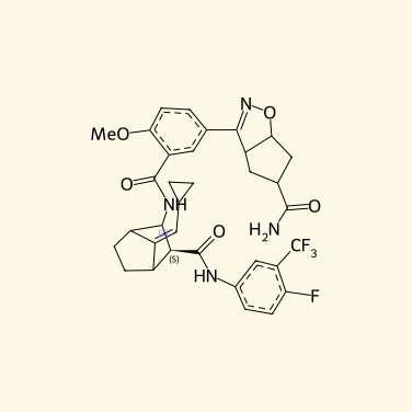 COc1ccc(C2=NOC3CC(C(N)=O)CC23)cc1C(=O)NC1C2CCC(/C2=C/C2CC2)[C@@H]1C(=O)Nc1ccc(F)c(C(F)(F)F)c1